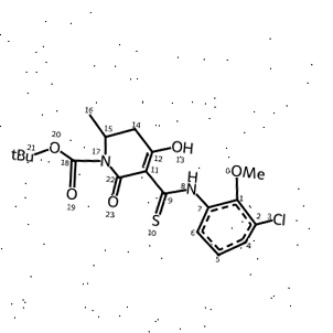 COc1c(Cl)cccc1NC(=S)C1=C(O)CC(C)N(C(=O)OC(C)(C)C)C1=O